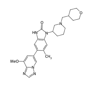 COc1cc(-c2cc3[nH]c(=O)n(C4CCCN(CC5CCOCC5)C4)c3cc2C)cn2ncnc12